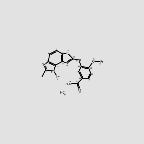 CCn1c(C)nc2ccc3sc(Nc4cc(C(N)=O)ccc4OC(C)C)nc3c21.Cl